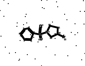 O=S(=O)(c1ccccc1)N1CCC(Br)C1